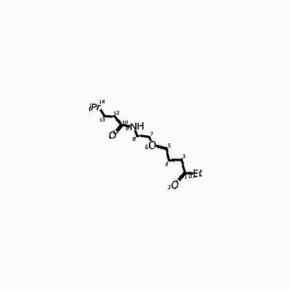 CCC(=O)CCCOCCNC(=O)CCC(C)C